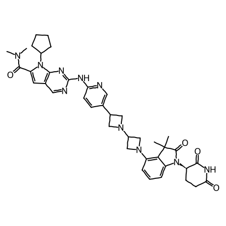 CN(C)C(=O)c1cc2cnc(Nc3ccc(C4CN(C5CN(c6cccc7c6C(C)(C)C(=O)N7[C@@H]6CCC(=O)NC6=O)C5)C4)cn3)nc2n1C1CCCC1